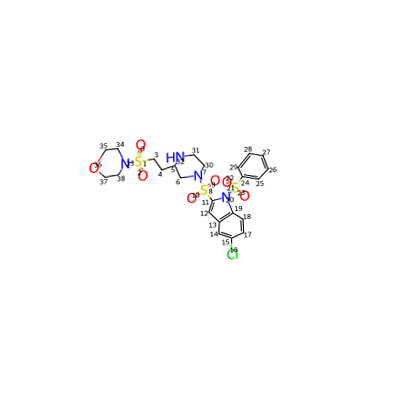 O=S(=O)(CCC1CN(S(=O)(=O)c2cc3cc(Cl)ccc3n2S(=O)(=O)c2ccccc2)CCN1)N1CCOCC1